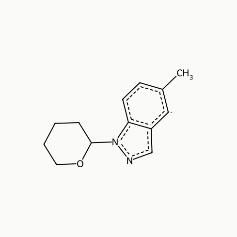 Cc1[c]c2cnn(C3CCCCO3)c2cc1